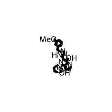 COc1cccc(Cc2nnc(-c3nc(N4CCCCS4(O)O)c4cccnc4c3O)[nH]2)c1